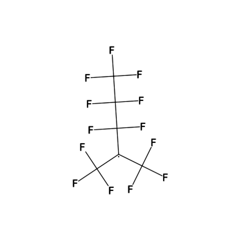 FC(F)(F)[C](C(F)(F)F)C(F)(F)C(F)(F)C(F)(F)F